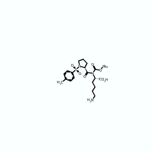 Cc1ccc(S(=O)(=O)N2CCC[C@H]2C(=O)N(C(=O)OC(C)(C)C)[C@@H](CCCCN)C(=O)O)cc1